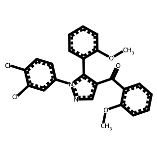 COc1ccccc1C(=O)c1cnn(-c2ccc(Cl)c(Cl)c2)c1-c1ccccc1OC